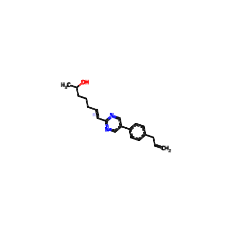 C=CCc1ccc(-c2cnc(/C=C/CCCC(C)O)nc2)cc1